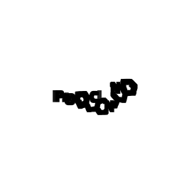 CC(C)Oc1ccc(Cl)c(CC2CCN(CC3Cc4ccccc4N(C)C3)CC2)c1